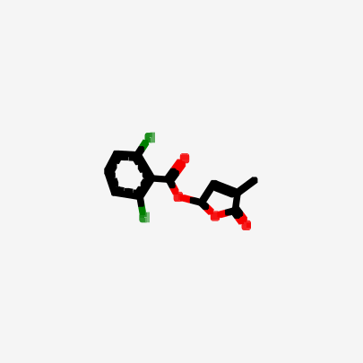 CC1=CC(OC(=O)c2c(Cl)cccc2Cl)OC1=O